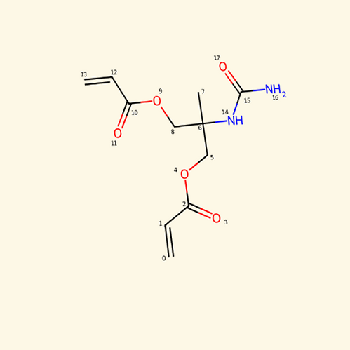 C=CC(=O)OCC(C)(COC(=O)C=C)NC(N)=O